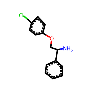 NC(COc1ccc(Cl)cc1)c1ccccc1